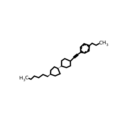 CCCCCC[C@H]1CC[C@H](C2CCC(C#Cc3ccc(CCC)cc3)CC2)CC1